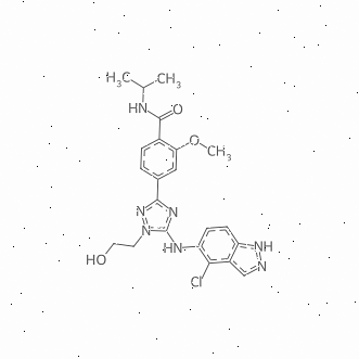 COc1cc(-c2nc(Nc3ccc4[nH]ncc4c3Cl)n(CCO)n2)ccc1C(=O)NC(C)C